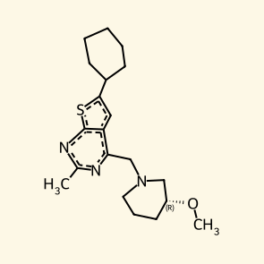 CO[C@@H]1CCCN(Cc2nc(C)nc3sc(C4CCCCC4)cc23)C1